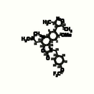 COc1cc2c(cc1-c1c(C)noc1C)nc(CN(C)C)c1oc(=O)n(Cc3ccc(OC(F)(F)F)cc3)c12